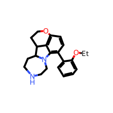 CCOc1ccccc1-c1ccc2c3c1N1CCNCCC1C3CCO2